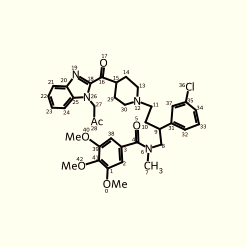 COc1cc(C(=O)N(C)CC(CCN2CCC(C(=O)c3nc4ccccc4n3CC(C)=O)CC2)c2cccc(Cl)c2)cc(OC)c1OC